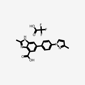 Cc1ccn(-c2ccc(-c3cc(C(=O)O)c4nc(C)[nH]c4c3)cc2)n1.O=C(O)C(F)(F)F